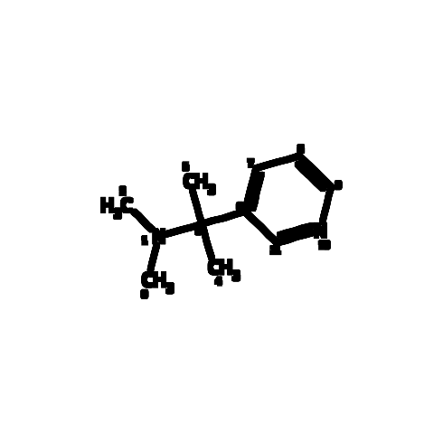 CN(C)C(C)(C)c1cccnc1